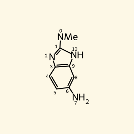 CNc1nc2ccc(N)cc2[nH]1